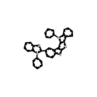 c1ccc(-n2c(-c3ccc4sc5sc6c7ccccc7n(-c7ccccc7)c6c5c4c3)nc3ccccc32)cc1